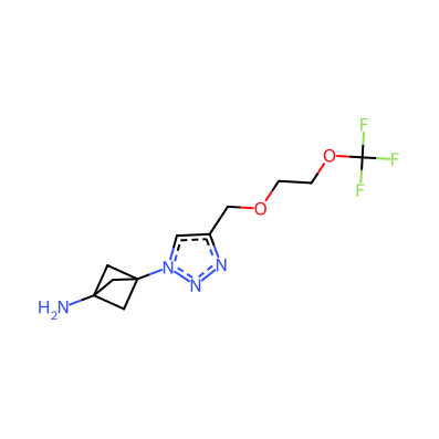 NC12CC(n3cc(COCCOC(F)(F)F)nn3)(C1)C2